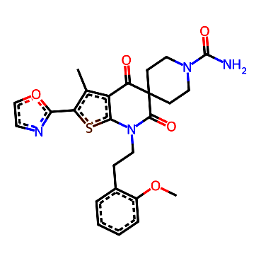 COc1ccccc1CCN1C(=O)C2(CCN(C(N)=O)CC2)C(=O)c2c1sc(-c1ncco1)c2C